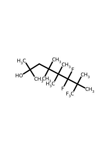 CC(C)(O)CC(C)(C)C(C)(C)C(F)(F)C(C)(C)C(F)(F)F